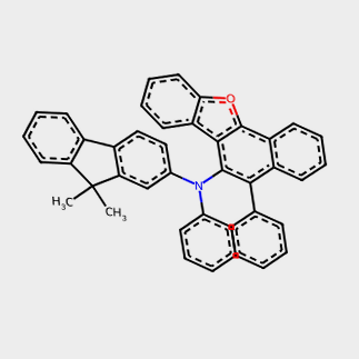 CC1(C)c2ccccc2-c2ccc(N(c3ccccc3)c3c(-c4ccccc4)c4ccccc4c4oc5ccccc5c34)cc21